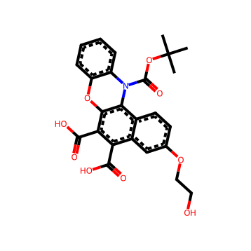 CC(C)(C)OC(=O)N1c2ccccc2Oc2c(C(=O)O)c(C(=O)O)c3cc(OCCO)ccc3c21